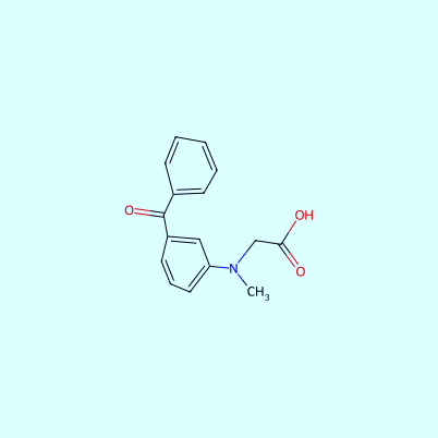 CN(CC(=O)O)c1cccc(C(=O)c2ccccc2)c1